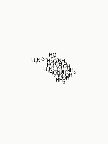 NC[C@H]1O[C@H](OC2[C@@H](N)C[C@@H](NC(=O)C3(O)CC3N)[C@H](O[C@H]3O[C@H](CO)[C@@H](O)[C@H](N)[C@H]3O)[C@H]2O)[C@H](NCC2CC(N)C2)C[C@@H]1O